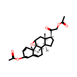 CC(=O)OCC(=O)[C@H]1CC[C@H]2[C@@H]3CC=C4C=C(OC(C)=O)C=C[C@]4(C)[C@]34OC4C[C@]12C